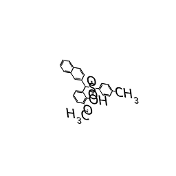 COc1cccc(C(c2ccc3ccccc3c2)S(=O)(=O)c2ccc(C)cc2)c1O